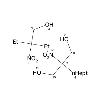 CCC(CC)(CO)[N+](=O)[O-].CCCCCCCC(CO)(CO)[N+](=O)[O-]